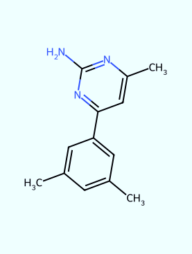 Cc1cc(C)cc(-c2cc(C)nc(N)n2)c1